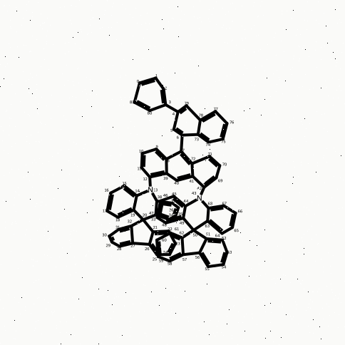 c1ccc(-c2cc(-c3c4cccc(N5c6ccccc6C6(c7ccccc7-c7ccccc76)c6ccccc65)c4cc4c(N5c6ccccc6C6(c7ccccc7-c7ccccc76)c6ccccc65)cccc34)c3ccccc3c2)cc1